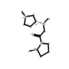 C[C@@H]1CCCN1C(=O)CN(C)[C@@H]1CCN(C)C1